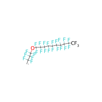 [CH2]C(F)(F)C(F)(F)C(F)(F)OC(F)(F)C(F)(F)C(F)(F)C(F)(F)C(F)(F)C(F)(F)C(F)(F)C(F)(F)C(F)(F)C(F)(F)F